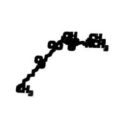 CCCCCCCCCCOC(=O)CCCCCC(=O)OCC(CO)COC(=O)OCCCN(CC)CC